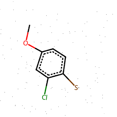 COc1ccc([S])c(Cl)c1